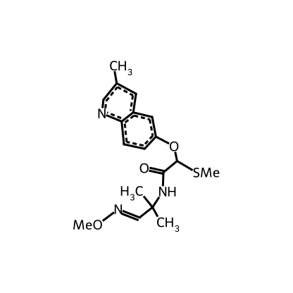 CON=CC(C)(C)NC(=O)C(Oc1ccc2ncc(C)cc2c1)SC